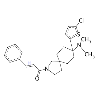 CN(C)C1(c2ccc(Cl)s2)CCC2(CCN(C(=O)/C=C/c3ccccc3)C2)CC1